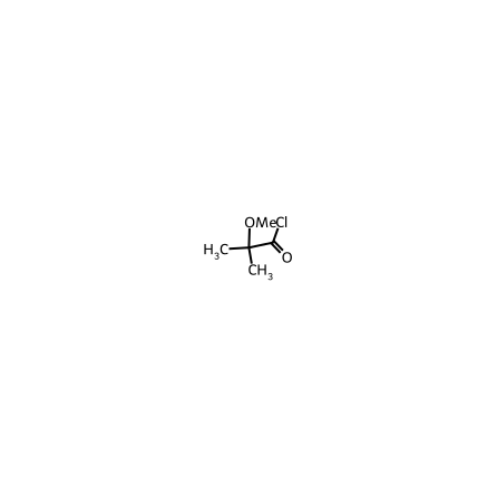 COC(C)(C)C(=O)Cl